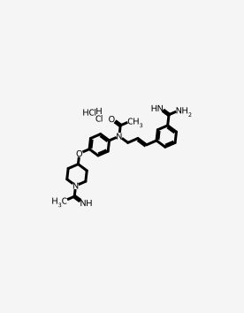 CC(=N)N1CCC(Oc2ccc(N(C/C=C/c3cccc(C(=N)N)c3)C(C)=O)cc2)CC1.Cl.Cl